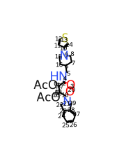 CC(=O)O[C@@H](C(=O)NCC1CCN(c2ccsc2)CC1)[C@@H](OC(C)=O)C(=O)N1Cc2ccccc2C1